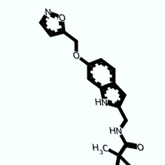 CC1(C(=O)NCc2cc3ccc(OCc4ccno4)cc3[nH]2)CC1